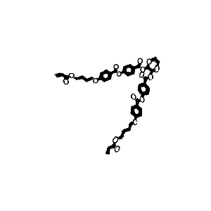 C=CC(=O)OCCCCOc1ccc(C(=O)Oc2ccc(C(=O)OC3OCCOC3OC(=O)c3ccc(OC(=O)c4ccc(OCCCCOC(=O)C=C)cc4)cc3)cc2)cc1